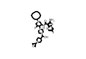 Nc1nn2cc(F)cnc2c1C(=O)NC1CN(C2CCCCCCCCC2)CC(F)C1N1CCN(C(O)C2CCN(C3COC3)CC2)CC1